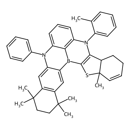 Cc1ccccc1N1C2=C(SC3(C)C=CCCC23)B2c3cc4c(cc3N(c3ccccc3)c3cccc1c32)C(C)(C)CCC4(C)C